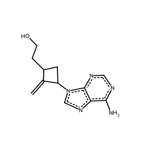 C=C1C(CCO)CC1n1cnc2c(N)ncnc21